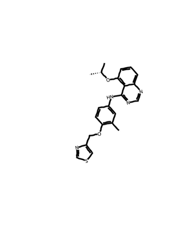 [CH2][C@H](C)Oc1cccc2ncnc(Nc3ccc(OCc4cscn4)c(C)c3)c12